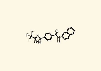 O=C(Nc1ccc2ccccc2c1)c1ccc(-c2noc(C(F)(F)F)n2)cc1